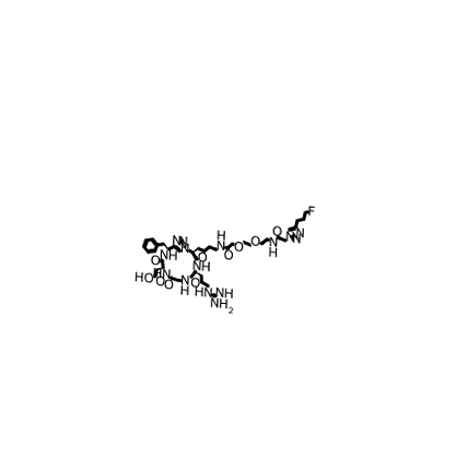 N=C(N)NCCC[C@@H]1NC(=O)[C@H](CCCCNC(=O)COCCOCCNC(=O)Cn2cc(CCCF)nn2)n2cc(nn2)[C@H](Cc2ccccc2)NC(=O)[C@H](CC(=O)O)NC(=O)CNC1=O